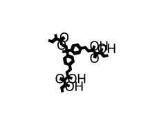 CC=C(C)C(=O)OCC(C)(c1ccc(CCC(O)C(=O)C(O)=CC)cc1)c1ccc(CCC(O)C(=O)C(O)=CC)cc1